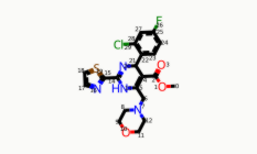 COC(=O)C1=C(CN2CCOCC2)NC(c2nccs2)=NC1c1ccc(F)cc1Cl